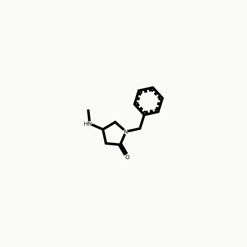 CNC1CC(=O)N(Cc2ccccc2)C1